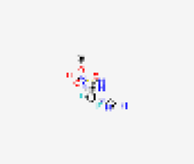 CNC(=O)[C@]12C[C@H]1[C@@](C)(c1cc(/C=C(\F)c3ccc(C#N)cn3)ccc1F)N=C(N(COCC[Si](C)(C)C)C(=O)O)S2